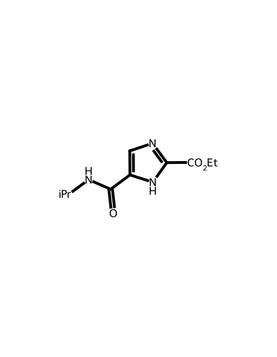 CCOC(=O)c1ncc(C(=O)NC(C)C)[nH]1